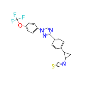 FC(F)(F)Oc1ccc(-n2cnc(-c3ccc(C4CC4N=C=S)cc3)n2)cc1